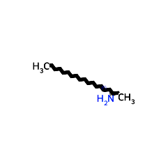 CCCCCCCCCCCCC/C=C/C[C@@H](N)CC